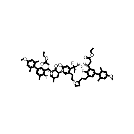 CCOC(=O)C[C@H](NC(=O)C(CC(C)C)n1cc(CCN2CCC2CCc2cc(-c3c(C)cc(OC)cc3C)cc([C@@H](N)CC(=O)OCC)c2F)c(C(F)(F)F)cc1=O)c1cc(-c2c(C)cc(OC)cc2C)cc(C)c1F